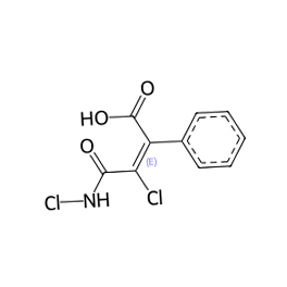 O=C(NCl)/C(Cl)=C(\C(=O)O)c1ccccc1